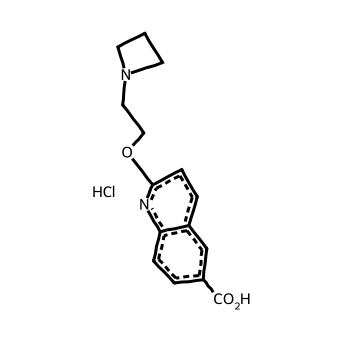 Cl.O=C(O)c1ccc2nc(OCCN3CCC3)ccc2c1